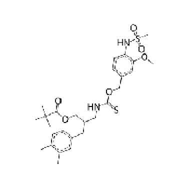 COc1cc(COC(=S)NCC(COC(=O)C(C)(C)C)Cc2ccc(C)c(C)c2)ccc1NS(C)(=O)=O